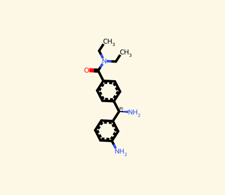 CCN(CC)C(=O)c1ccc([C@@H](N)c2cccc(N)c2)cc1